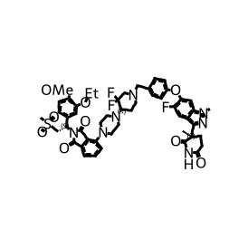 CCOc1cc([C@@H](CS(C)(=O)=O)N2C(=O)c3cccc(N4CCN([C@@H]5CCN(Cc6ccc(Oc7cc8c(cc7F)c([C@]7(C)CCC(=O)NC7=O)nn8C)cc6)CC5(F)F)CC4)c3C2=O)ccc1OC